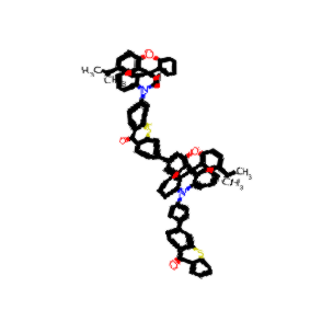 CC(C)c1ccc2c(c1)C1(c3ccccc3O2)c2ccccc2N(c2ccc3c(=O)c4ccc(-c5ccc6c(c5)Oc5ccc(C(C)C)cc5C65c6ccccc6N(c6ccc(-c7ccc8c(=O)c9ccccc9sc8c7)cc6)c6ccccc65)cc4sc3c2)c2ccccc21